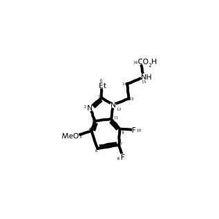 CCc1nc2c(OC)cc(F)c(F)c2n1CCNC(=O)O